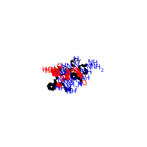 CC(C)C[C@H](NC(=O)[C@@H](C)N(C(=O)[C@H](Cc1ccc(O)cc1)NC(=O)[C@H](CO)NC(=O)[C@H](Cc1c[nH]c2ccccc12)NC(=O)[C@H](Cc1c[nH]cn1)NC(=O)[C@@H](N)CCC(=O)O)c1ccc2ccccc2c1)C(=O)N[C@@H](CCCNC(=N)N)C(=O)N1CCC[C@H]1C(=O)NCC(N)=O